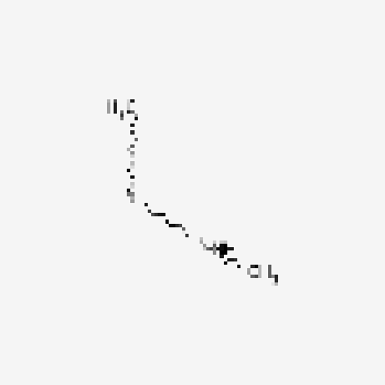 CCC=NNCCCCCCCC/C=C\CCCCCCCC